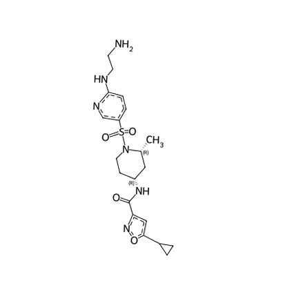 C[C@@H]1C[C@H](NC(=O)c2cc(C3CC3)on2)CCN1S(=O)(=O)c1ccc(NCCN)nc1